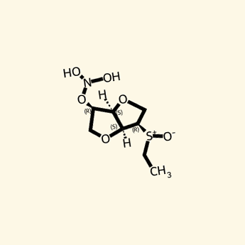 CC[S+]([O-])[C@@H]1CO[C@H]2[C@@H]1OC[C@H]2ON(O)O